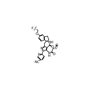 N#Cc1ccc(-n2nc3c(c2NC(=O)C[S+]=O)C(=O)N[C@]2(CCc4cc(OCC(F)(F)F)ccc42)C3)nc1